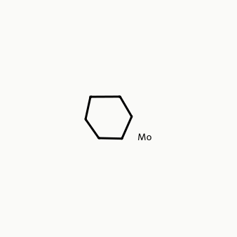 C1CCCCC1.[Mo]